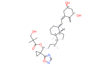 C=C1/C(=C\C=C2/CCC[C@]3(C)[C@@H]([C@H](C)CC[C@@H](OC(=O)C(C)(C)CO)C4(c5ncno5)CC4)CC[C@@H]23)C[C@@H](O)C[C@@H]1O